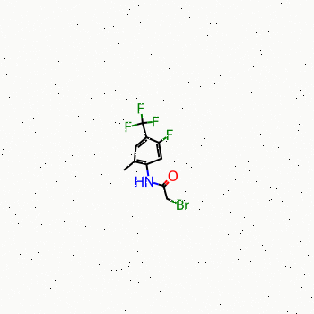 Cc1cc(C(F)(F)F)c(F)cc1NC(=O)CBr